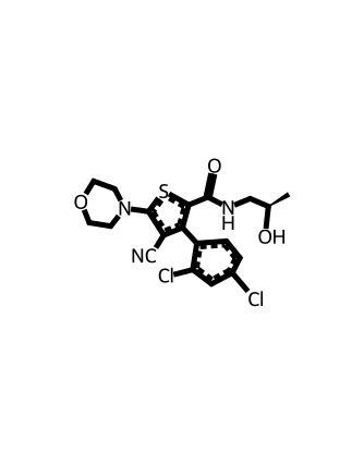 C[C@@H](O)CNC(=O)c1sc(N2CCOCC2)c(C#N)c1-c1ccc(Cl)cc1Cl